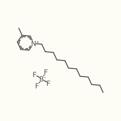 CCCCCCCCCCCC[n+]1cccc(C)c1.F[B-](F)(F)F